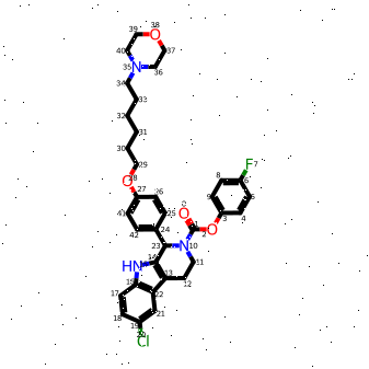 O=C(Oc1ccc(F)cc1)N1CCc2c([nH]c3ccc(Cl)cc23)C1c1ccc(OCCCCCCN2CCOCC2)cc1